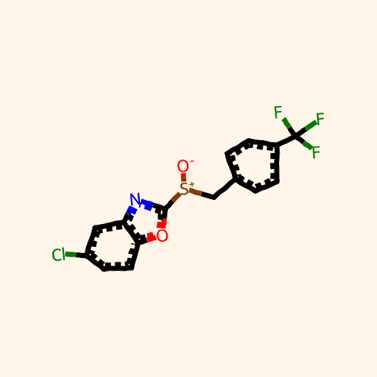 [O-][S+](Cc1ccc(C(F)(F)F)cc1)c1nc2cc(Cl)ccc2o1